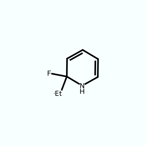 C[CH]C1(F)C=CC=CN1